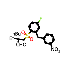 CCCC[C@](C=O)(CC)CS(=O)(=O)c1ccc(F)cc1Cc1cccc([N+](=O)[O-])c1